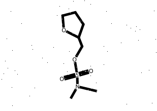 CN(C)S(=O)(=O)OCC1CCCO1